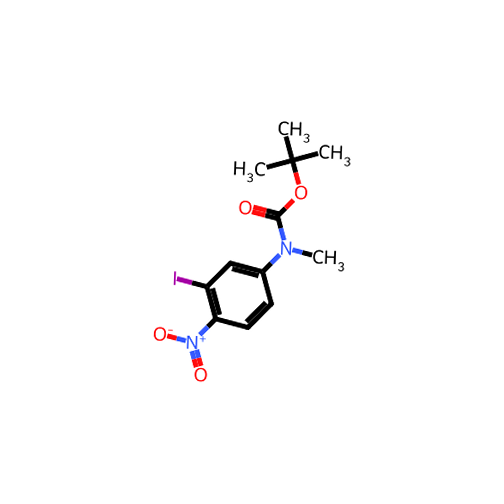 CN(C(=O)OC(C)(C)C)c1ccc([N+](=O)[O-])c(I)c1